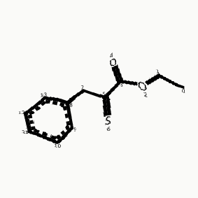 CCOC(=O)C(=S)Cc1ccccc1